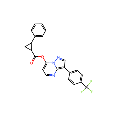 O=C(Oc1ccnc2c(-c3ccc(C(F)(F)F)cc3)cnn12)C1CC1c1ccccc1